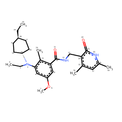 CCN(c1cc(OC)cc(C(=O)NCc2c(C)cc(C)[nH]c2=O)c1C)[C@H]1CC[C@H](CC)CC1